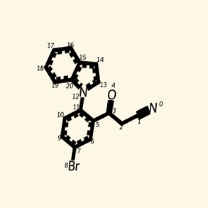 N#CCC(=O)c1cc(Br)ccc1-n1ccc2ccccc21